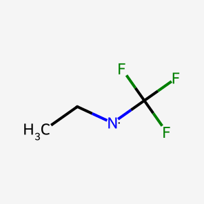 CC[N]C(F)(F)F